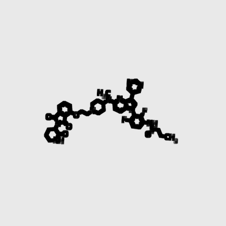 CCC[S+]([O-])Nc1ccc(F)c(-n2cc(-c3cncnc3)c3nc(N(C)C4CCN(CCOc5cccc6c5C(=O)N(C5CCCNC5=O)C6=O)CC4)ccc32)c1F